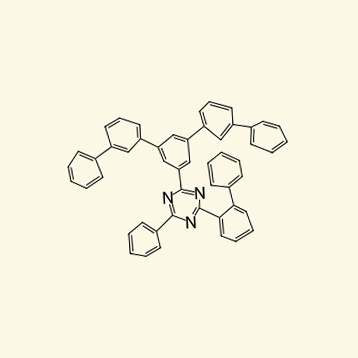 c1ccc(-c2cccc(-c3cc(-c4cccc(-c5ccccc5)c4)cc(-c4nc(-c5ccccc5)nc(-c5ccccc5-c5ccccc5)n4)c3)c2)cc1